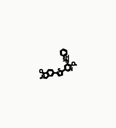 COc1ncc(-c2ccc(-c3ccc4c(c3)CN(C)C4=O)s2)cc1NSc1ccccc1